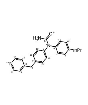 CCCc1ccc(N(C(N)=O)c2ccc(Cc3ccncc3)cc2)cc1